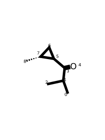 CC(C)C(=O)C1C[C@H]1C